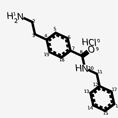 Cl.NCCc1ccc(C(=O)NCc2ccccc2)cc1